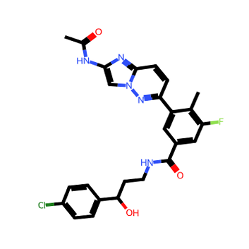 CC(=O)Nc1cn2nc(-c3cc(C(=O)NCCC(O)c4ccc(Cl)cc4)cc(F)c3C)ccc2n1